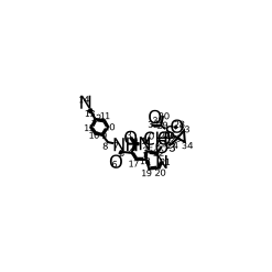 Cn1c(=O)c(C(=O)NCc2ccc(C#N)cc2)cc2ccnc(OCC3(S(=O)(=O)C4COC4)CC3)c21